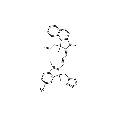 C=CCC1(C)/C(=C\C=C\C2=[N+](C)c3ccc(C(F)(F)F)cc3C2(C)Cc2ccco2)N(C)c2ccc3ccccc3c21